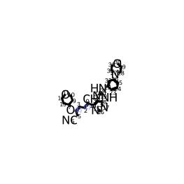 C/C(=C\C=C(/CC#N)OC1CCOCC1)c1ncnc2[nH]c(Nc3cccc(N4CCOCC4)c3)nc12